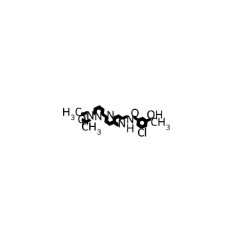 CC(O)c1cc(Cl)cc(C(=O)NCc2cc3nc(-c4cccc(N5C[C@@H](C)O[C@@H](C)C5)n4)ccc3cn2)c1